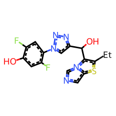 CCc1sc2cncn2c1C(O)c1cn(-c2cc(F)c(O)cc2F)nn1